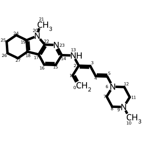 C=C/C(=C\C=C\N1CCN(C)CC1)Nc1ccc2c3c(n(C)c2n1)CCCC3